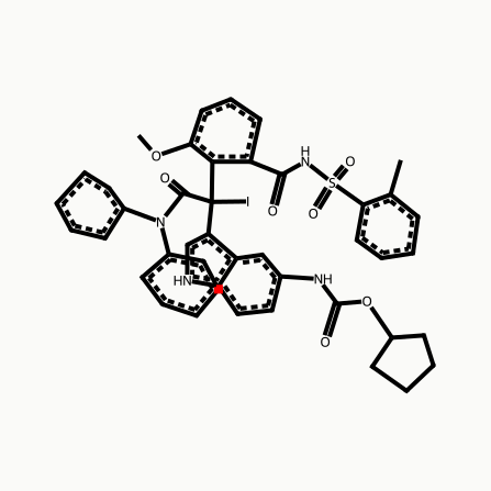 COc1cccc(C(=O)NS(=O)(=O)c2ccccc2C)c1C(I)(C(=O)N(c1ccccc1)c1ccccc1)c1c[nH]c2ccc(NC(=O)OC3CCCC3)cc12